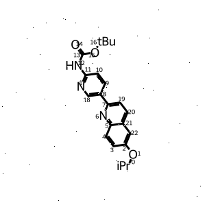 CC(C)Oc1ccc2nc(-c3ccc(NC(=O)OC(C)(C)C)nc3)ccc2c1